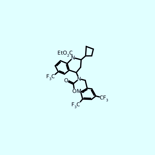 CCOC(=O)N1c2ccc(C(F)(F)F)cc2C(N(Cc2cc(C(F)(F)F)cc(C(F)(F)F)c2)C(=O)OC)CC1C1CCC1